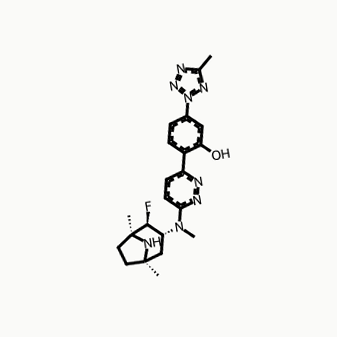 Cc1nnn(-c2ccc(-c3ccc(N(C)[C@@H]4C[C@@]5(C)CC[C@](C)(N5)[C@H]4F)nn3)c(O)c2)n1